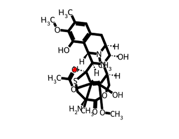 COc1c(C)cc2c(c1O)[C@H]1[C@@H]3[C@@H]4SC[C@H](N)C(=O)OC[C@@H](c5c(O)c(OC)c(C)c(OC(C)=O)c54)N3[C@@H](O)[C@H](C2)N1C